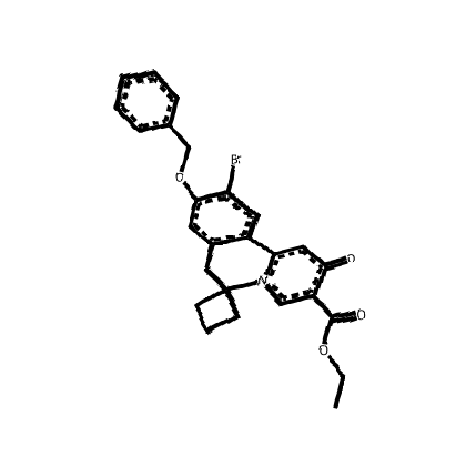 CCOC(=O)c1cn2c(cc1=O)-c1cc(Br)c(OCc3ccccc3)cc1CC21CCC1